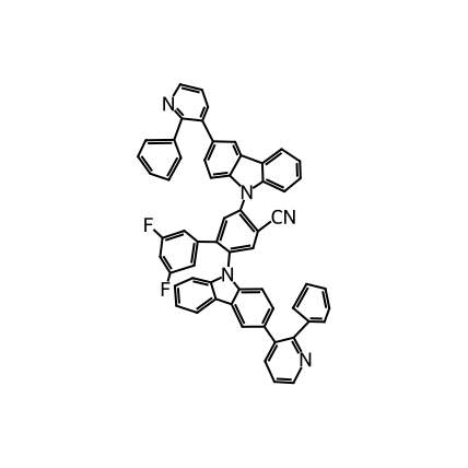 N#Cc1cc(-n2c3ccccc3c3cc(-c4cccnc4-c4ccccc4)ccc32)c(-c2cc(F)cc(F)c2)cc1-n1c2ccccc2c2cc(-c3cccnc3-c3ccccc3)ccc21